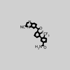 N#Cc1cnc2ccc(C(=O)c3cccc(-c4cc(C(N)=O)ccc4C(F)(F)F)c3F)cc2n1